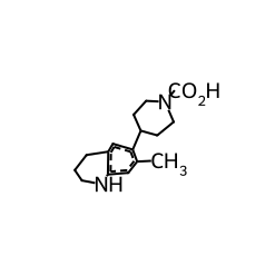 Cc1cc2c(cc1C1CCN(C(=O)O)CC1)CCCN2